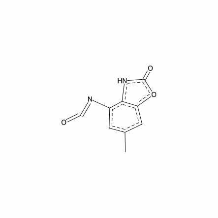 Cc1cc(N=C=O)c2[nH]c(=O)oc2c1